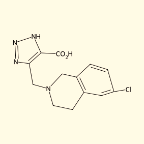 O=C(O)c1[nH]nnc1CN1CCc2cc(Cl)ccc2C1